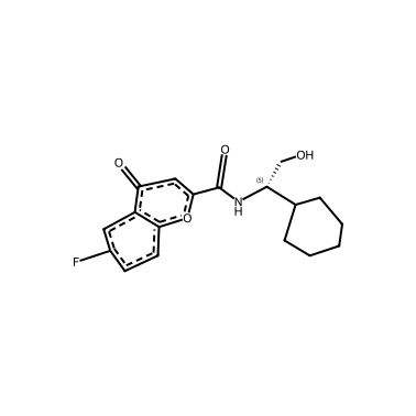 O=C(N[C@H](CO)C1CCCCC1)c1cc(=O)c2cc(F)ccc2o1